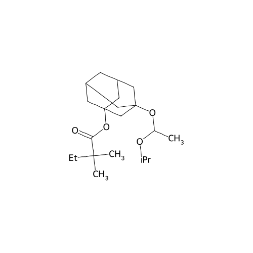 CCC(C)(C)C(=O)OC12CC3CC(C1)CC(OC(C)OC(C)C)(C3)C2